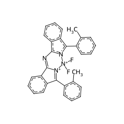 Cc1ccccc1C1=[N+]2C(=Nc3c4ccccc4c(-c4ccccc4C)n3[N+]2(F)F)c2ccccc21